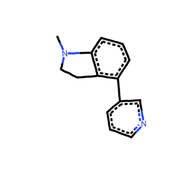 CN1CCc2c(-c3cccnc3)cccc21